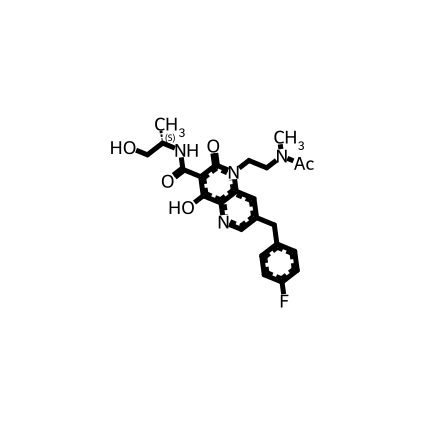 CC(=O)N(C)CCn1c(=O)c(C(=O)N[C@@H](C)CO)c(O)c2ncc(Cc3ccc(F)cc3)cc21